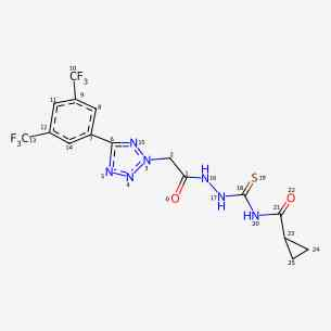 O=C(Cn1nnc(-c2cc(C(F)(F)F)cc(C(F)(F)F)c2)n1)NNC(=S)NC(=O)C1CC1